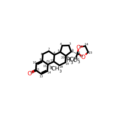 CC1([C@H]2CCC3C4CCC5=CC(=O)C=C[C@]5(C)C4CC[C@@]32C)OCCO1